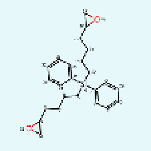 c1ccc([Si](CCCCC2CO2)(CCCCC2CO2)c2ccccc2)cc1